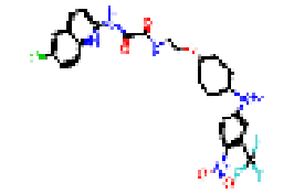 O=C(NCCO[C@H]1CC[C@H](Nc2ccc([N+](=O)[O-])c(C(F)(F)F)c2)CC1)C(=O)Nc1ccc2cc(Cl)ccc2n1